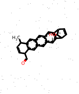 CC1C=CC(C=O)c2cc3cc4cc5c(cc4cc3cc21)C1C=CC5[C@H]1O